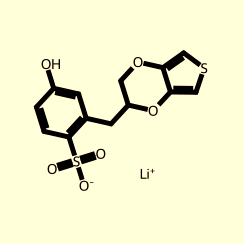 O=S(=O)([O-])c1ccc(O)cc1CC1COc2cscc2O1.[Li+]